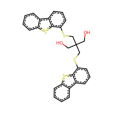 OCC(CO)(CSc1cccc2c1sc1ccccc12)CSc1cccc2c1sc1ccccc12